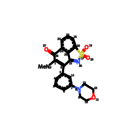 CNC1=C(c2cccc(N3CCOCC3)c2)C2=NS(=O)(=O)c3cccc(c32)C1=O